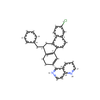 Clc1ccc2c3c(ccc2c1)C1=C(CCC=C1)C(Cc1ccccc1)C3.c1cnc2ccncc2c1